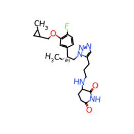 CC[C@@H](Cn1nncc1CCCNC1CCC(=O)NC1=O)c1ccc(F)c(OCC2CC2C)c1